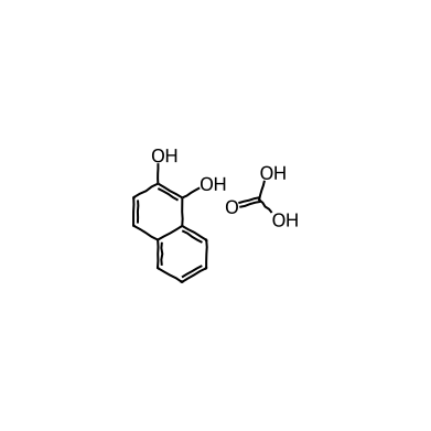 O=C(O)O.Oc1ccc2ccccc2c1O